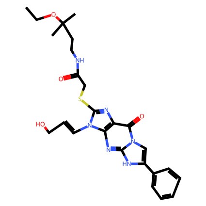 CCOC(C)(C)CCNC(=O)CSc1nc2c(=O)n3cc(-c4ccccc4)[nH]c3nc2n1C=CCO